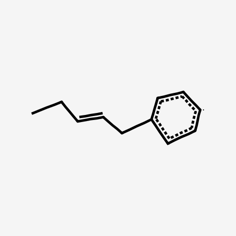 CCC=CCc1cc[c]cc1